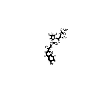 COC(=O)N[C@H](C(=O)N1CC(F)(F)C[C@H]1C(=O)OCC(=O)c1ccc2cc(Br)ccc2n1)C(C)C